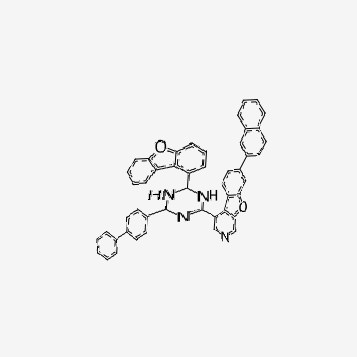 c1ccc(-c2ccc(C3N=C(c4cncc5oc6cc(-c7ccc8ccccc8c7)ccc6c45)NC(c4cccc5oc6ccccc6c45)N3)cc2)cc1